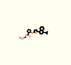 CCOC(=O)C1CCCC1Sc1ccc(-c2ccc(C3CC3)c3ccccc23)s1